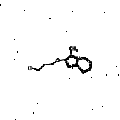 Cc1c(OCCCCl)cc2ccccn12